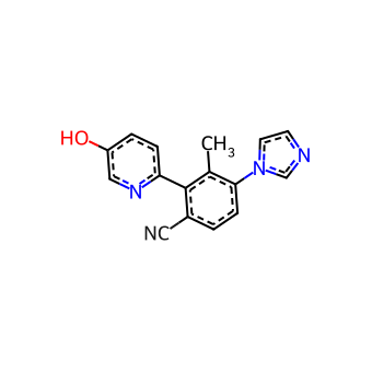 Cc1c(-n2ccnc2)ccc(C#N)c1-c1ccc(O)cn1